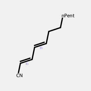 CCCCCCC/C=C/C=C/C#N